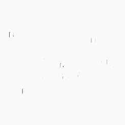 C=C(Cl)/C(C)=C\N(C)c1cc(F)cc(C#N)c1